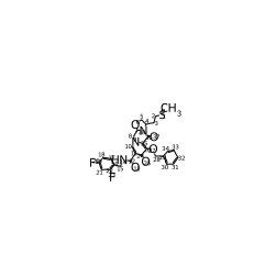 CSCCC1COC2Cn3cc(C(=O)NCc4ccc(F)cc4F)c(=O)c(OCc4ccccc4)c3C(=O)N12